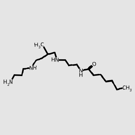 CCCCCCC(=O)NCCCNCC(C)CCNCCCN